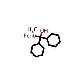 C.CCCCCC(O)(C1CCCCC1)C1CCCCC1